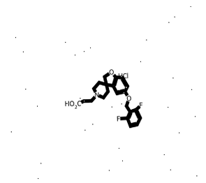 Cl.O=C(O)CCN1CCC2(CC1)COc1ccc(OCc3c(F)cccc3F)cc12